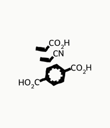 C=CC#N.C=CC(=O)O.O=C(O)c1ccc(C(=O)O)cc1